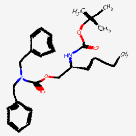 CCCC[C@@H](COC(=O)N(Cc1ccccc1)Cc1ccccc1)NC(=O)OC(C)(C)C